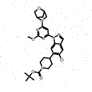 COc1nc(N2CC3CC2CO3)cc(-n2ncc3cc(Cl)c(C4CCN(C(=O)OC(C)(C)C)CC4)cc32)n1